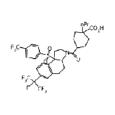 CCCC1(C(=O)O)CCC(C(=O)N2CCC3(S(=O)(=O)c4ccc(C(F)(F)F)cc4)c4ccc(C(F)(C(F)(F)F)C(F)(F)F)cc4CCC23)CC1